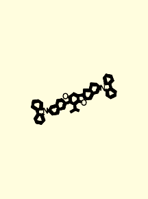 CC(C)c1c2oc3cc4cc(-n5c6ccccc6c6ccccc65)ccc4cc3c2cc2oc3cc4cc(-n5c6ccccc6c6ccccc65)ccc4cc3c12